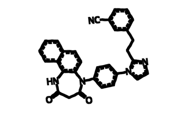 N#Cc1cccc(CCc2nccn2-c2ccc(N3C(=O)CC(=O)Nc4c3ccc3ccccc43)cc2)c1